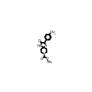 Cc1ccc(C2=NC3(CCN(C(=O)OC(C)(C)C)CC3)NC2=O)cc1